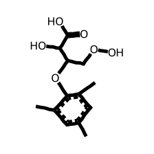 Cc1cc(C)c(OC(COO)C(O)C(=O)O)c(C)c1